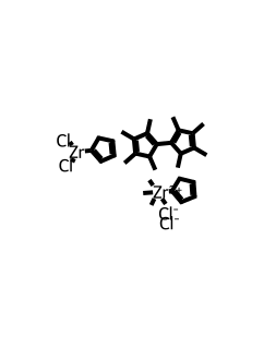 CC1=C(C)C(C)C(C2=C(C)C(C)=C(C)C2C)=C1C.[CH3][Zr+2]([CH3])([CH3])([CH3])[C]1=CC=CC1.[Cl-].[Cl-].[Cl][Zr]([Cl])[C]1=CC=CC1